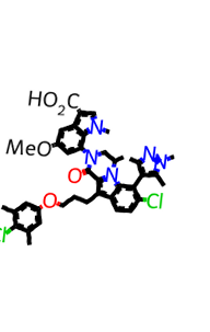 COc1cc(N2CC(C)n3c(c(CCCOc4cc(C)c(Cl)c(C)c4)c4ccc(Cl)c(-c5c(C)nn(C)c5C)c43)C2=O)c2c(c1)c(C(=O)O)cn2C